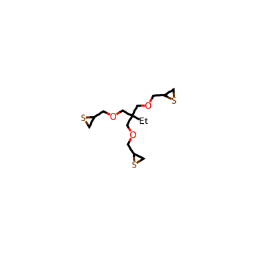 CCC(COCC1CS1)(COCC1CS1)COCC1CS1